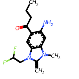 C=C1N(C)c2cc(N)c(C(=O)CCC)cc2N1CC(F)F